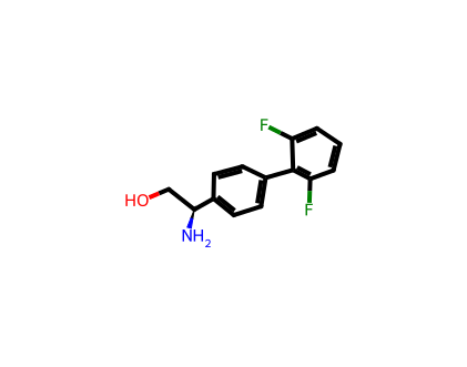 N[C@@H](CO)c1ccc(-c2c(F)cccc2F)cc1